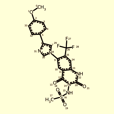 COc1ccc(-c2cn(-c3cc4c(=O)n(NS(C)(=O)=O)c(=O)[nH]c4cc3C(F)(F)F)cn2)cc1